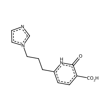 O=C(O)c1ccc(CCCn2ccnc2)[nH]c1=O